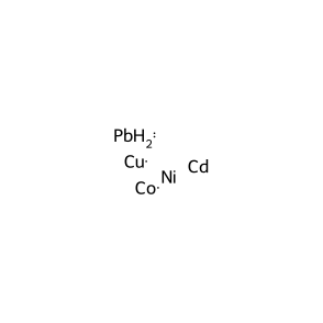 [Cd].[Co].[Cu].[Ni].[PbH2]